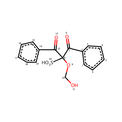 O=C(c1ccccc1)C(OCO)(C(=O)c1ccccc1)S(=O)(=O)O